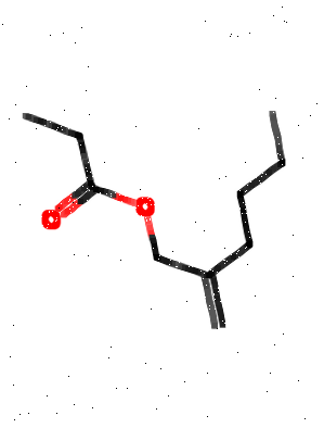 C=C(CCCC)COC(=O)CC